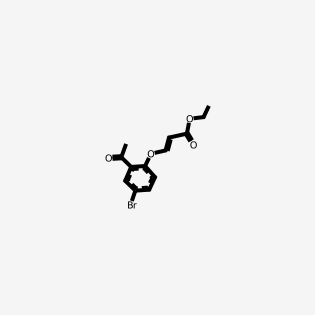 CCOC(=O)C=COc1ccc(Br)cc1C(C)=O